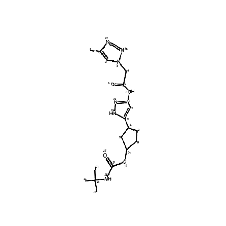 Cc1cn(CC(=O)Nc2cc(C3CCC(OC(=O)NC(C)(C)C)C3)[nH]n2)nn1